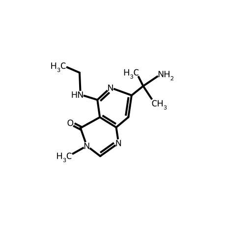 CCNc1nc(C(C)(C)N)cc2ncn(C)c(=O)c12